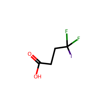 O=C(O)CCC(F)(F)I